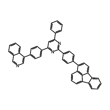 c1ccc(-c2cc(-c3ccc(-c4cncc5ccccc45)cc3)nc(-c3ccc(-c4ccc5c6c(cccc46)-c4ccccc4-5)cc3)n2)cc1